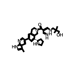 Cc1c[nH]c2ncc(-c3cc4c(c([C@@H]5CCCN5)c3)CN(C(=O)/C(C=N)=C/NCC(C)(C)CO)CC4)cc12